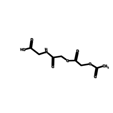 CC(=O)OCC(=O)OCC(=O)NCC(=O)O